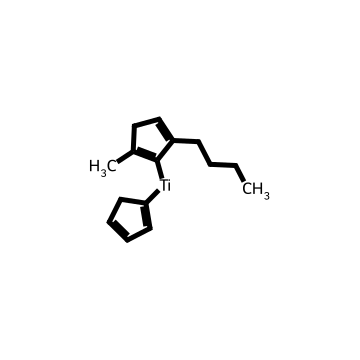 CCCCC1=CCC(C)=[C]1[Ti][C]1=CC=CC1